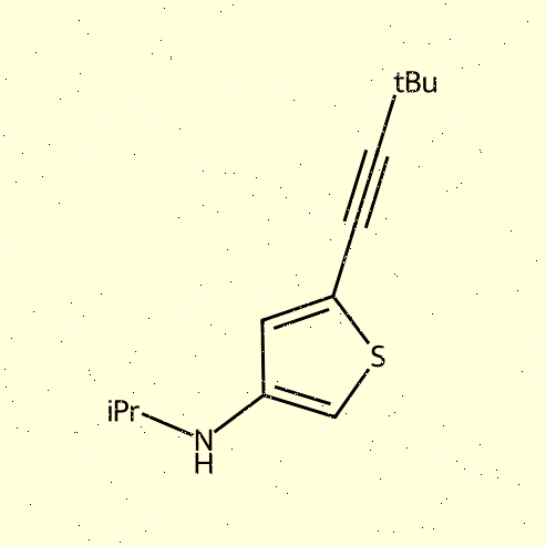 CC(C)Nc1csc(C#CC(C)(C)C)c1